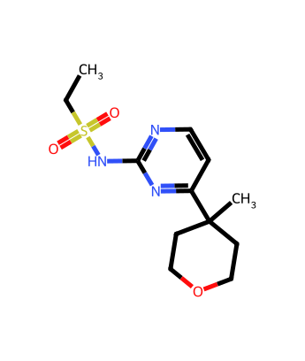 CCS(=O)(=O)Nc1nccc(C2(C)CCOCC2)n1